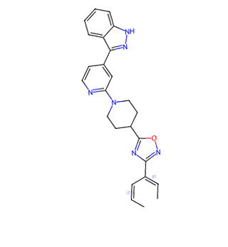 C/C=C\C(=C/C)c1noc(C2CCN(c3cc(-c4n[nH]c5ccccc45)ccn3)CC2)n1